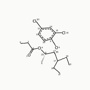 CCC(=O)O[C@@H](C)[C@H](Oc1ccc(Cl)cc1Cl)C(CC)CC